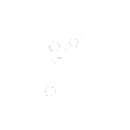 Cc1cc(I)ccc1Nc1cc(F)ccc1C(=O)NOCCOc1ccccc1